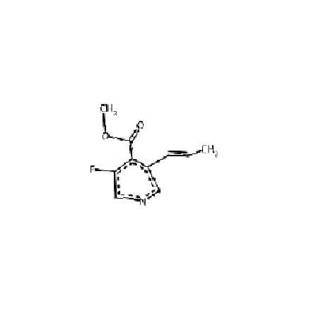 C/C=C/c1cncc(F)c1C(=O)OC